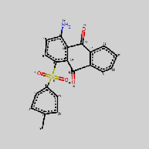 Cc1ccc(S(=O)(=O)c2ccc(N)c3c2C(=O)c2ccccc2C3=O)cc1